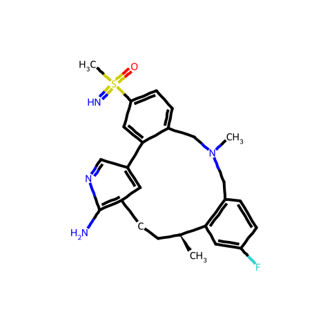 C[C@H]1CCc2cc(cnc2N)-c2cc(S(C)(=N)=O)ccc2CN(C)Cc2ccc(F)cc21